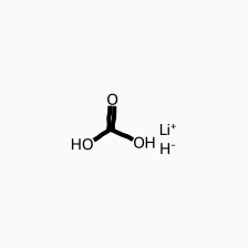 O=C(O)O.[H-].[Li+]